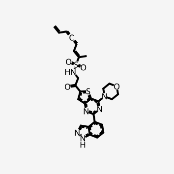 C=CC=C=C/C=C(\C)S(=O)(=O)NCC(=O)c1cc2nc(-c3cccc4[nH]ncc34)nc(N3CCOCC3)c2s1